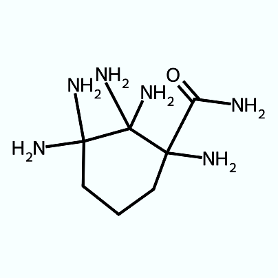 NC(=O)C1(N)CCCC(N)(N)C1(N)N